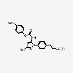 CCOC(=O)CCc1ccc(-n2nc(C(C)(C)C)cc2NC(=O)Oc2ccc(OC)cc2)cc1